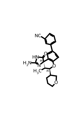 CC1[C@H](C2CCCOC2)Oc2ccc(-c3cccc(C#N)c3)cc2[C@]12N=C(N)NC2=O